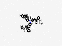 C[Si](C)(C)C(=Cc1ccc(N(c2ccc(C=C(c3ccccc3)[Si](C)(C)C)cc2)c2ccc(C=C(c3ccccc3)[Si](C)(C)C)cc2)cc1)c1ccccc1